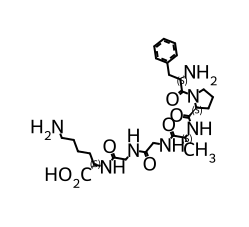 C[C@H](NC(=O)[C@@H]1CCCN1C(=O)[C@@H](N)Cc1ccccc1)C(=O)NCC(=O)NCC(=O)N[C@@H](CCCCN)C(=O)O